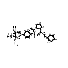 CC1(C)OB(c2ccc3[nH]c([C@@H]4CCCN4C(=O)OCc4ccccc4)nc3c2)OC1(C)C